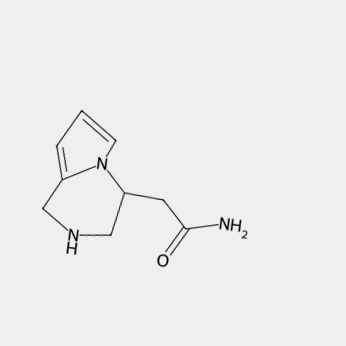 NC(=O)CC1CNCc2cccn21